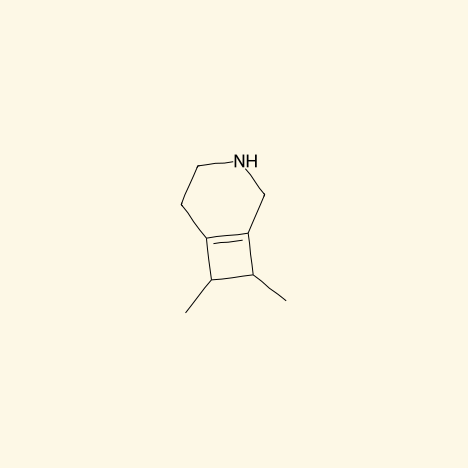 CC1C2=C(CNCC2)C1C